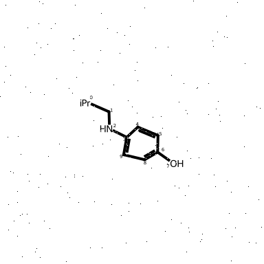 CC(C)CNc1c[c]c(O)cc1